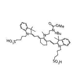 CCCCN(CCN(C)C1=C(/C=C/C2=[N+](CCCCS(=O)(=O)O)c3ccccc3C2(C)C)CCC/C1=C\C=C1\N(CCCCS(=O)(=O)O)c2ccccc2C1(C)C)C(=O)OC